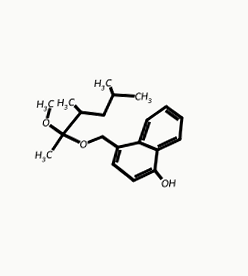 COC(C)(OCc1ccc(O)c2ccccc12)C(C)CC(C)C